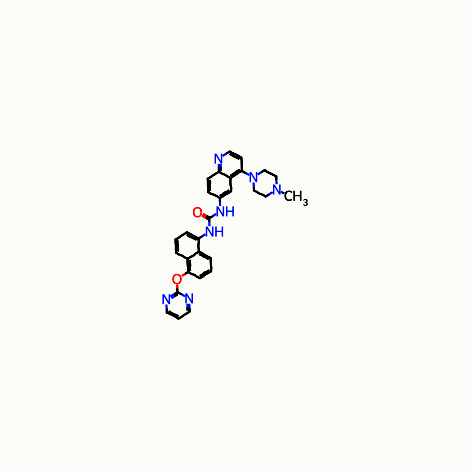 CN1CCN(c2ccnc3ccc(NC(=O)Nc4cccc5c(Oc6ncccn6)cccc45)cc23)CC1